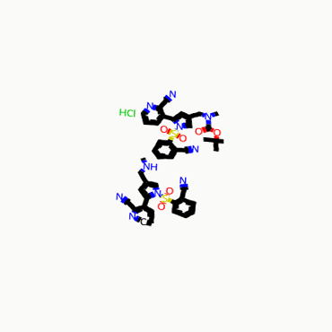 CN(Cc1cc(-c2cccnc2C#N)n(S(=O)(=O)c2ccccc2C#N)c1)C(=O)OC(C)(C)C.CNCc1cc(-c2cccnc2C#N)n(S(=O)(=O)c2ccccc2C#N)c1.Cl